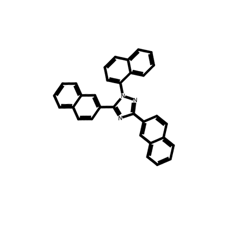 c1ccc2cc(-c3nc(-c4ccc5ccccc5c4)n(-c4cccc5ccccc45)n3)ccc2c1